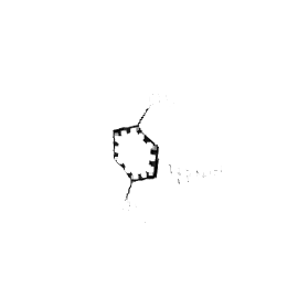 Cc1ccc(C)cc1.[NaH].[NaH]